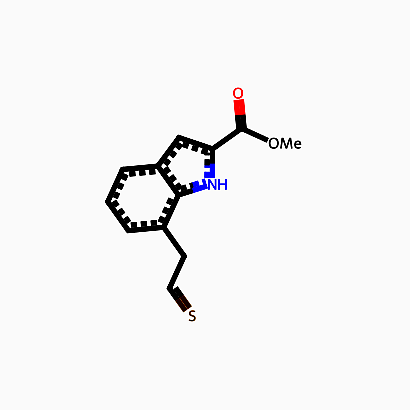 COC(=O)c1cc2cccc(CC=S)c2[nH]1